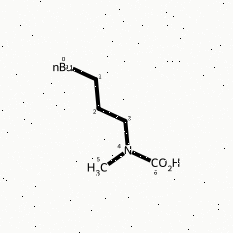 CCCCCCCN(C)C(=O)O